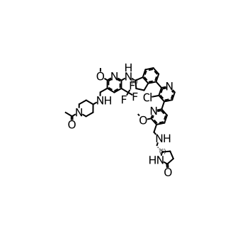 COc1nc(-c2ccnc(-c3cccc4c3CC[C@H]4Nc3nc(OC)c(CNC4CCN(C(C)=O)CC4)cc3C(F)(F)F)c2Cl)ccc1CNC[C@@H]1CCC(=O)N1